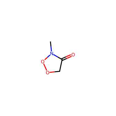 CN1OOCC1=O